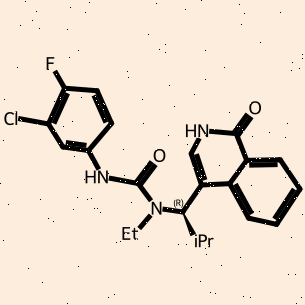 CCN(C(=O)Nc1ccc(F)c(Cl)c1)[C@@H](c1c[nH]c(=O)c2ccccc12)C(C)C